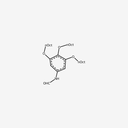 CCCCCCCCOc1cc(NC=O)cc(OCCCCCCCC)c1OCCCCCCCC